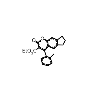 CCOC(=O)c1c(-c2ccccc2C)c2cc3c(cc2oc1=O)CCC3